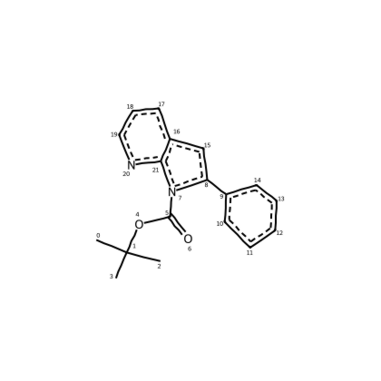 CC(C)(C)OC(=O)n1c(-c2ccccc2)cc2cccnc21